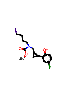 CC(C)(C)OC(=O)N(CCCCI)CC1CC1c1cc(F)ccc1O